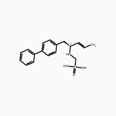 CC=C[C@H](Cc1ccc(-c2ccccc2)cc1)NCP(=O)(O)O